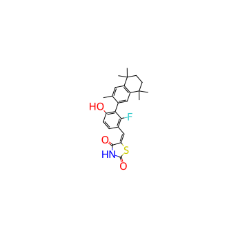 Cc1cc2c(cc1-c1c(O)ccc(/C=C3/SC(=O)NC3=O)c1F)C(C)(C)CCC2(C)C